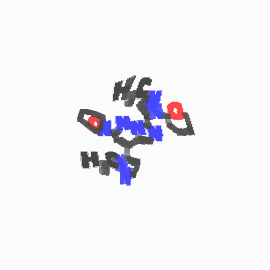 Cc1cc(-c2ncc3c(-c4ccnn4C)cc(N4CC5CCC(C4)O5)nn23)n(C2CCCCO2)n1